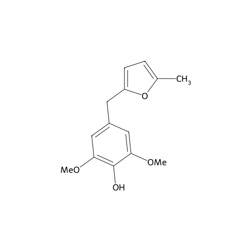 COc1cc(Cc2ccc(C)o2)cc(OC)c1O